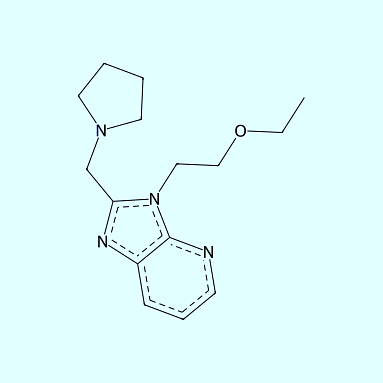 CCOCCn1c(CN2CCCC2)nc2cccnc21